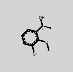 COc1c(Br)cccc1[C@H](C)O